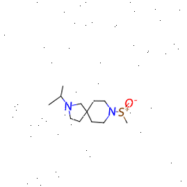 CC(C)N1CCC2(CCN([S+](C)[O-])CC2)C1